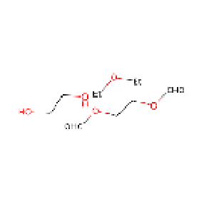 CCOCC.O=COCCOC=O.OCCO